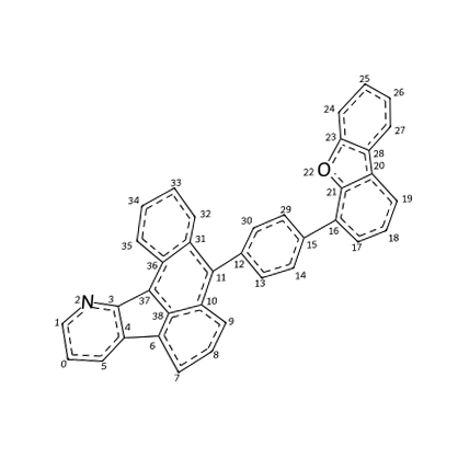 c1cnc2c(c1)-c1cccc3c(-c4ccc(-c5cccc6c5oc5ccccc56)cc4)c4ccccc4c-2c13